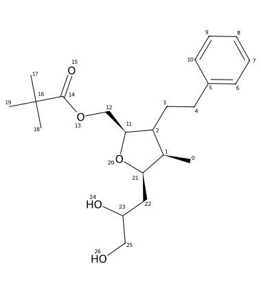 C[C@@H]1C(CCc2ccccc2)[C@H](COC(=O)C(C)(C)C)O[C@@H]1CC(O)CO